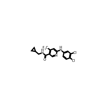 O=C(NCC1CC1)c1cnc(Nc2ccc(Cl)c(Cl)c2)cc1C(F)(F)F